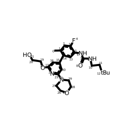 Cc1cc(F)c(NC(=O)NCCC(C)(C)C)cc1-c1cc(OCCO)nc(N2CCOCC2)c1